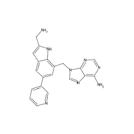 NCc1cc2cc(-c3cccnc3)cc(Cn3cnc4c(N)ncnc43)c2[nH]1